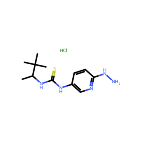 CC(NC(=S)Nc1ccc(NN)nc1)C(C)(C)C.Cl